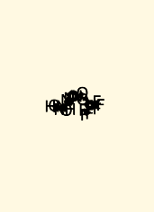 CC(=O)NNC(=O)c1cc2n(n1)CCCN(C(=O)OCc1cc(C(F)(F)F)cc(C(F)(F)F)c1)C2